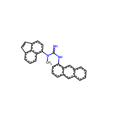 CN(C(=N)Nc1cccc2cc3ccccc3cc12)c1ccc2c3c(cccc13)C=C2